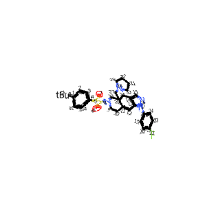 CC(C)(C)c1ccc(S(=O)(=O)N2CCC3=Cc4c(cnn4-c4ccc(F)cc4)CC3(CN3CCCC3)C2)cc1